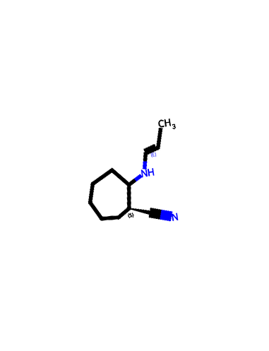 C/C=C/NC1CCCCC[C@@H]1C#N